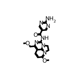 C=C(/C=C\C1=C(COC)N=C(NC(=O)c2cnc(N)nc2)N2CCN=C12)OC